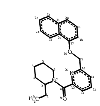 CCC1CCCCN1C(=O)c1cccc(COc2cccc3ccccc23)n1